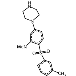 CNc1cc(N2CCNCC2)ccc1S(=O)(=O)c1cccc(C)c1